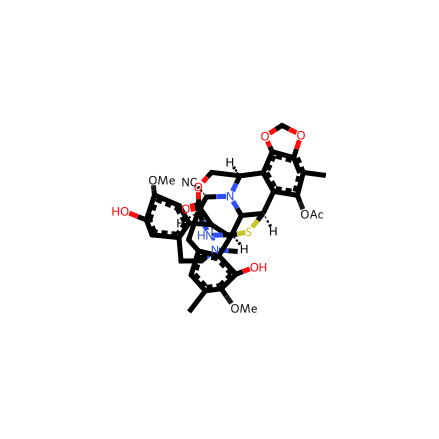 COc1cc2c(cc1O)CCN(C)[C@]21CS[C@@H]2c3c(OC(C)=O)c(C)c4c(c3[C@H](COC1=O)N1C2[C@@H]2N[C@@H](Cc3cc(C)c(OC)c(O)c32)[C@@H]1C#N)OCO4